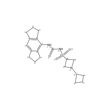 O=C(Nc1c2c(cc3c1CCC3)CCC2)NS(=O)(=O)C1CN(C2CCC2)C1